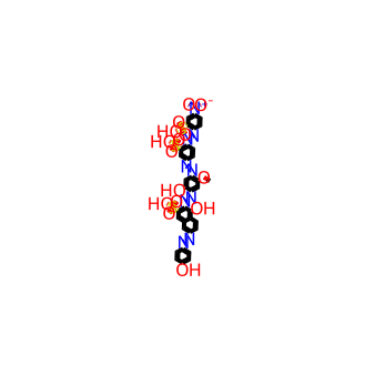 COc1cc(N=Nc2c(S(=O)(=O)O)cc3cc(N=Nc4ccc(O)cc4)ccc3c2O)c(O)cc1N=Nc1ccc(N=Nc2ccc([N+](=O)[O-])cc2S(=O)(=O)O)c(S(=O)(=O)O)c1